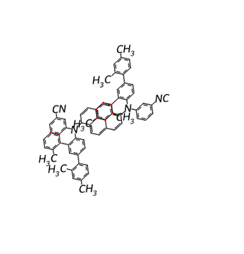 [C-]#[N+]c1cccc(N(C2=C3C=CC4=C5C(=CC=C(C=C2)C35)C(N(c2cccc(C#N)c2)c2ccc(-c3ccc(C)cc3C)cc2-c2ccccc2C)C=C4)c2ccc(-c3ccc(C)cc3C)cc2-c2ccc(C)cc2C)c1